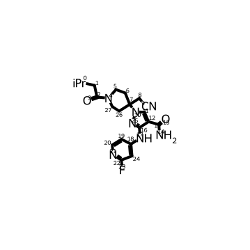 CC(C)CC(=O)N1CCC(CC#N)(n2cc(C(N)=O)c(Nc3ccnc(F)c3)n2)CC1